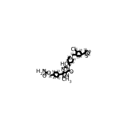 Cn1nc2c(=O)n(CC3(O)CCN(Cc4ccc(-c5cncs5)cc4Cl)CC3)cnc2c1-c1ccc(COC(N)=O)cc1